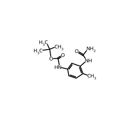 Cc1ccc(NC(=O)OC(C)(C)C)cc1NC(N)=O